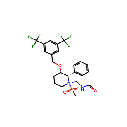 CS(=O)(=O)[N+]1(CNC=O)CCC[C@H](OCc2cc(C(F)(F)F)cc(C(F)(F)F)c2)[C@@H]1c1ccccc1